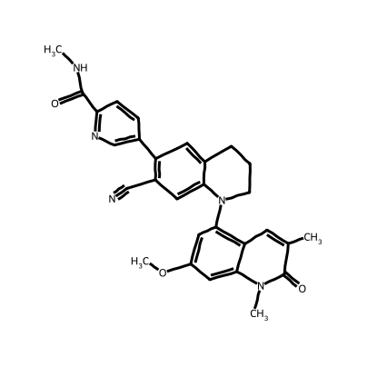 CNC(=O)c1ccc(-c2cc3c(cc2C#N)N(c2cc(OC)cc4c2cc(C)c(=O)n4C)CCC3)cn1